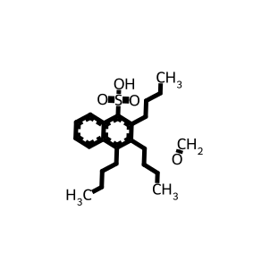 C=O.CCCCc1c(CCCC)c(S(=O)(=O)O)c2ccccc2c1CCCC